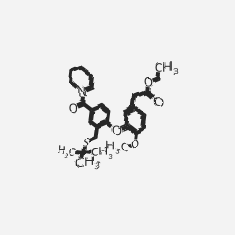 CCOC(=O)Cc1ccc(OC)c(Oc2ccc(C(=O)N3CCCCC3)cc2CSC(C)(C)C)c1